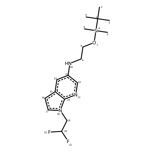 CC(C)(C)[Si](C)(C)OCCNc1cnc2c(ccn2CC(F)F)c1